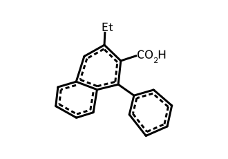 CCc1cc2ccccc2c(-c2ccccc2)c1C(=O)O